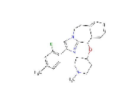 Cc1ccc(-c2cn3c(n2)C(OC2CCN(C)CC2)c2ccccc2CC3)c(Cl)c1